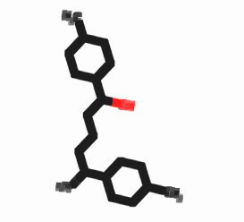 CCCC(CCCC(O)C1CCC(C)CC1)C1CCC(C)CC1